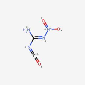 NC(N=C=O)=N[N+](=O)[O-]